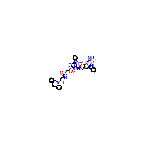 NC(=O)CNC(=O)[C@H](Cc1c[nH]c2ccccc12)NC(=O)CNC(=O)[C@H](Cc1c[nH]c2ccccc12)NC(=O)CNC(=O)CCC(=O)N1Cc2ccccc2C#Cc2ccccc21